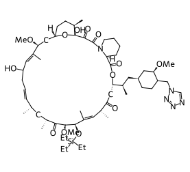 CC[Si](CC)(CC)O[C@@H]1/C(C)=C/[C@@H](C)C(=O)C[C@@H]([C@H](C)C[C@@H]2CCC(Cn3cnnn3)[C@H](OC)C2)OC(=O)[C@@H]2CCCCN2C(=O)C(=O)[C@]2(O)O[C@@H](CC[C@H]2C)C[C@H](OC)/C(C)=C/C(O)C/C=C/[C@@H](C)C[C@@H](C)C(=O)[C@@H]1OC